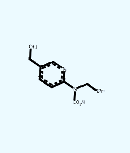 C[C](C)CN(C(=O)O)c1ccc(CO)cn1